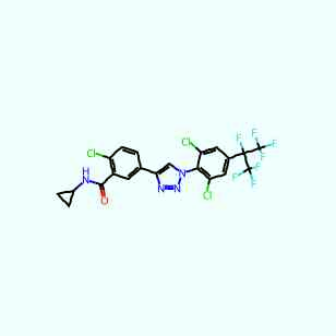 O=C(NC1CC1)c1cc(-c2cn(-c3c(Cl)cc(C(F)(C(F)(F)F)C(F)(F)F)cc3Cl)nn2)ccc1Cl